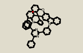 c1ccc(-c2cc(-c3ccccc3)nc(-c3cccc(-n4c5ccccc5c5cc6c(cc54)C4(c5ccccc5O6)c5ccccc5-n5c6ccccc6c6cccc4c65)c3)n2)cc1